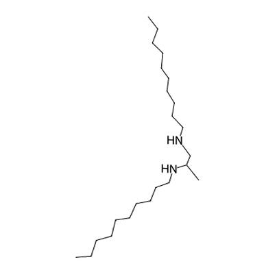 CCCCCCCCCCNCC(C)NCCCCCCCCCC